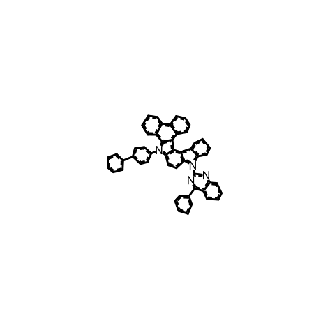 c1ccc(-c2ccc(-n3c4ccc5c(c6ccccc6n5-c5nc(-c6ccccc6)c6ccccc6n5)c4c4c5ccccc5c5ccccc5c43)cc2)cc1